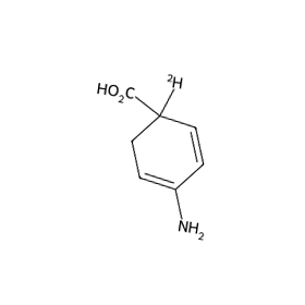 [2H]C1(C(=O)O)C=CC(N)=CC1